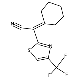 N#CC(=C1CCCCC1)c1nc(C(F)(F)F)cs1